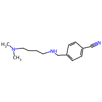 CN(C)CCCCNCc1ccc(C#N)cc1